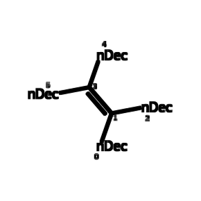 CCCCCCCCCCC(CCCCCCCCCC)=C(CCCCCCCCCC)CCCCCCCCCC